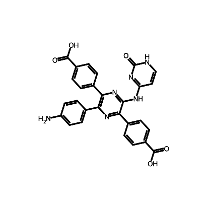 Nc1ccc(-c2nc(-c3ccc(C(=O)O)cc3)c(Nc3cc[nH]c(=O)n3)nc2-c2ccc(C(=O)O)cc2)cc1